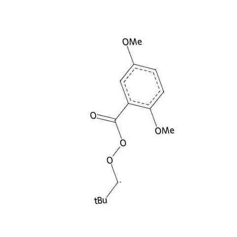 COc1ccc(OC)c(C(=O)OO[CH]C(C)(C)C)c1